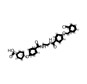 O=C(NCCNC(=O)c1ccc(O[C@H]2CC[C@@H](C(=O)O)CC2)cc1)c1ccc(OCc2ccccc2Cl)cc1